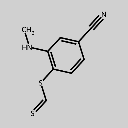 CNc1cc(C#N)ccc1SC=S